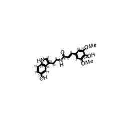 COc1cc(/C=C/C(=O)NCCc2c[nH]c3ccc(O)cc23)cc(OC)c1O